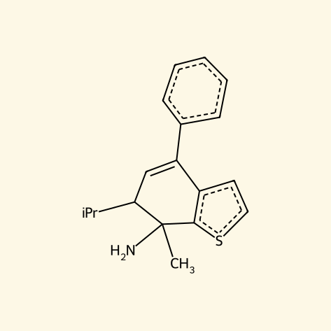 CC(C)C1C=C(c2ccccc2)c2ccsc2C1(C)N